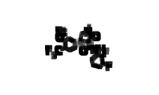 CCOc1cc([C@@H]2CN(C)C(=O)[C@H]2C(=O)Nc2cccc(F)c2F)ccc1C(F)(F)F